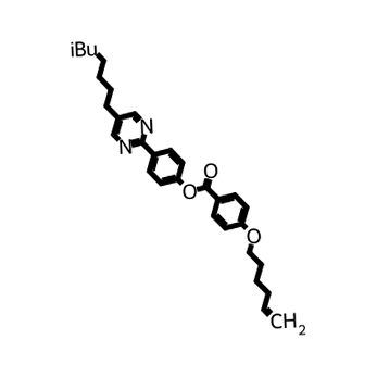 C=CCCCCOc1ccc(C(=O)Oc2ccc(-c3ncc(CCCCC(C)CC)cn3)cc2)cc1